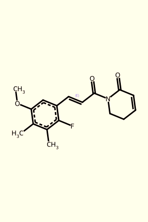 COc1cc(/C=C/C(=O)N2CCC=CC2=O)c(F)c(C)c1C